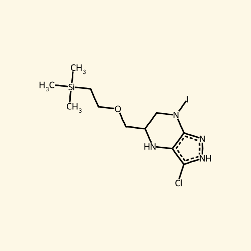 C[Si](C)(C)CCOCC1CN(I)c2n[nH]c(Cl)c2N1